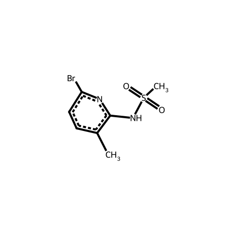 Cc1ccc(Br)nc1NS(C)(=O)=O